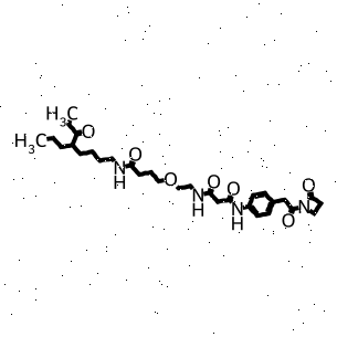 CCCC(CCCCNC(=O)CCCOCCNC(=O)CC(=O)Nc1ccc(CC(=O)N2CCC2=O)cc1)C(=O)CC